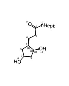 CCCCCCCC(=O)CC[C@@H]1CC(O)C[C@@H]1O